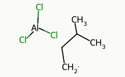 [CH2]CC(C)C.[Cl][Al]([Cl])[Cl]